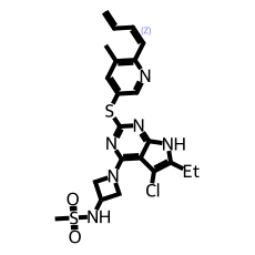 C=C/C=C\c1ncc(Sc2nc(N3CC(NS(C)(=O)=O)C3)c3c(Cl)c(CC)[nH]c3n2)cc1C